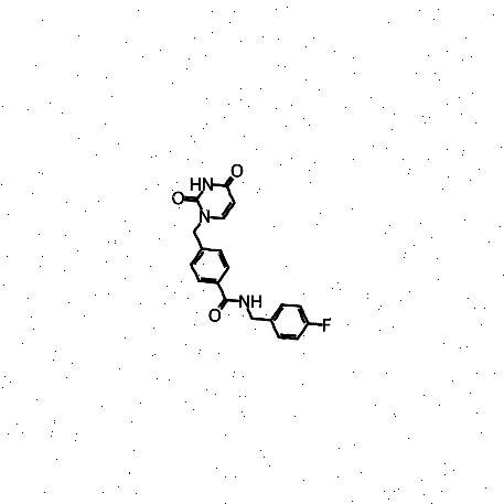 O=C(NCc1ccc(F)cc1)c1ccc(Cn2ccc(=O)[nH]c2=O)cc1